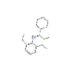 CCC(=Nc1c(CC)cccc1CC)C1CCCCC1